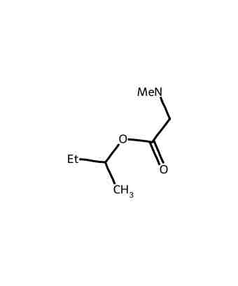 [CH2-][NH2+]CC(=O)OC(C)CC